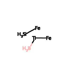 [BH2][Ti][Fe].[SiH3][Fe]